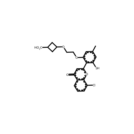 Cc1cc(S)c(-c2cc(=O)c3cccc(Cl)c3o2)c(OCCOC2CC(C(=O)O)C2)c1